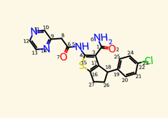 NC(=O)c1c(NC(=O)Cc2cnccn2)sc2c1C(c1ccc(Cl)cc1)CC2